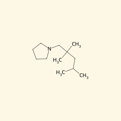 CC(C)CC(C)(C)CN1CCCC1